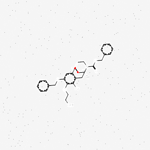 O=C(OCc1ccccc1)N1CC[C@@]23CCCCC2[C@@H]1Cc1c3cc(OCc2ccccc2)c(OCCO)c1Br